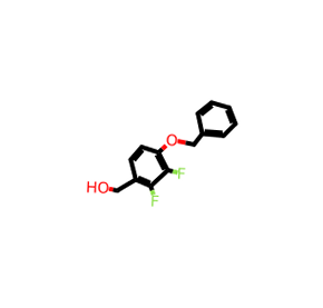 OCc1ccc(OCc2ccccc2)c(F)c1F